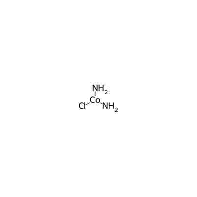 [NH2][Co]([NH2])[Cl]